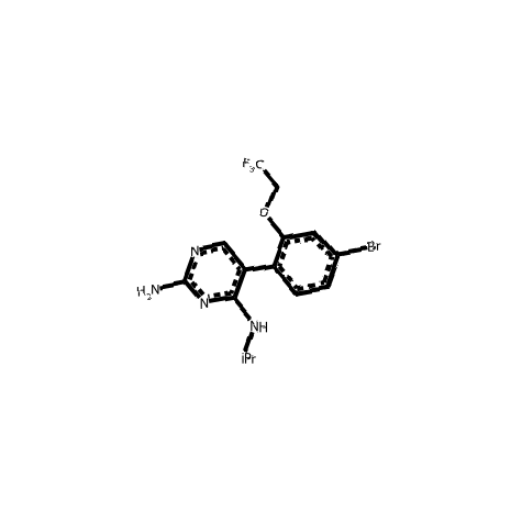 CC(C)Nc1nc(N)ncc1-c1ccc(Br)cc1OCC(F)(F)F